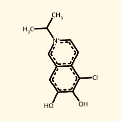 CC(C)[n+]1ccc2c(Cl)c(O)c(O)cc2c1